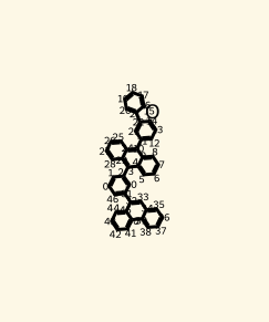 c1cc(-c2c3ccccc3c(-c3ccc4oc5ccccc5c4c3)c3ccccc23)cc(-c2cc3ccccc3c3ccccc23)c1